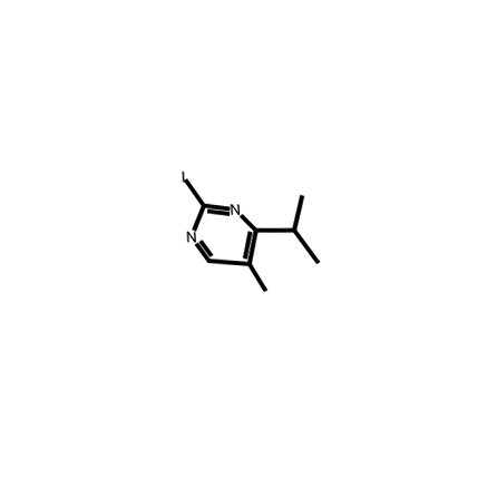 Cc1cnc(I)nc1C(C)C